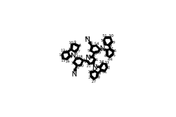 N#CC1=CC(n2c3ccccc3c3ccccc32)=CC(c2cc(-n3c4ccccc4c4ccccc43)cc(C3=CC(n4c5ccccc5c5ccccc54)CC(C#N)=C3)n2)C1